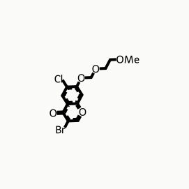 COCCOCOc1cc2occ(Br)c(=O)c2cc1Cl